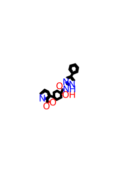 O=C1OC2(CCC(O)(C(=O)Nc3ncc(-c4ccccc4)cn3)CC2)c2cccnc21